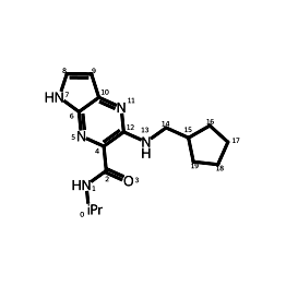 CC(C)NC(=O)c1nc2[nH]ccc2nc1NCC1CCCC1